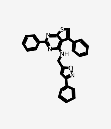 c1ccc(-c2cc(CNc3nc(-c4ccccc4)nc4scc(-c5ccccc5)c34)on2)cc1